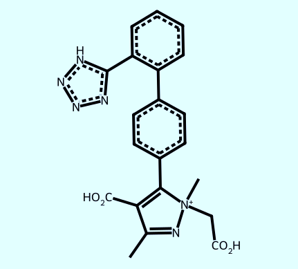 CC1=N[N+](C)(CC(=O)O)C(c2ccc(-c3ccccc3-c3nnn[nH]3)cc2)=C1C(=O)O